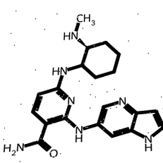 CN[C@H]1CCCCC1Nc1ccc(C(N)=O)c(Nc2cnc3cc[nH]c3c2)n1